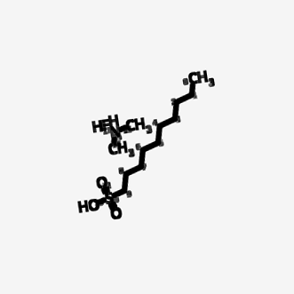 CCCCCCCCCCS(=O)(=O)O.CNC.F